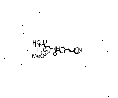 COCOC[C@H](C[C@H](C)C(=O)NO)NC(=O)c1ccc(/C=C/c2ccncc2)cc1